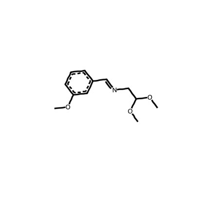 COc1cccc(C=NCC(OC)OC)c1